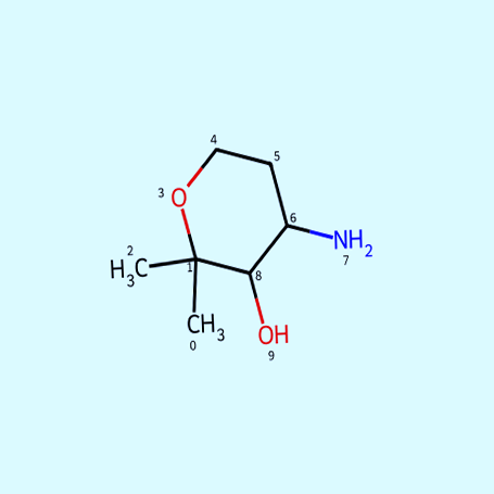 CC1(C)OCCC(N)C1O